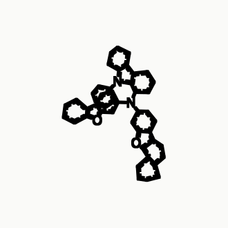 c1ccc(-n2c3ccccc3c3cccc(N(c4ccc5c(c4)oc4ccccc45)c4ccc5c(c4)oc4c6ccccc6ccc54)c32)cc1